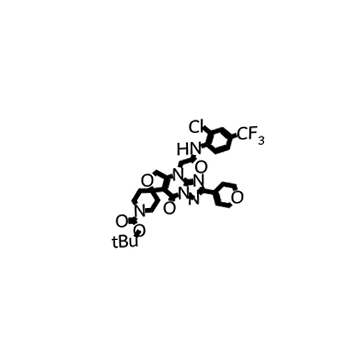 CC(C)(C)OC(=O)N1CCC2(CC1)OCc1c2c(=O)n2nc(C3=CCOCC3)nc2n1CC(=O)Nc1ccc(C(F)(F)F)cc1Cl